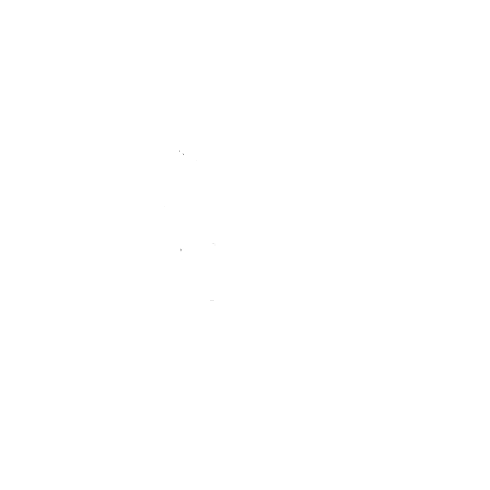 NCc1cccc(OCc2ccccc2)c1[C@]12C=CC(=O)C[C@H]1CCC2